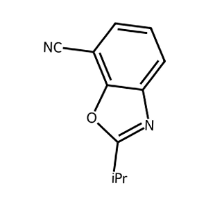 CC(C)c1nc2cccc(C#N)c2o1